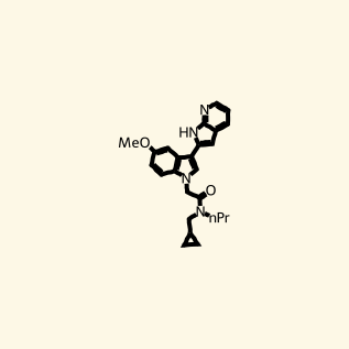 CCCN(CC1CC1)C(=O)Cn1cc(-c2cc3cccnc3[nH]2)c2cc(OC)ccc21